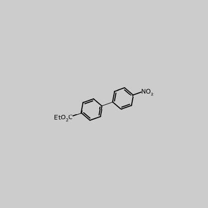 CCOC(=O)c1ccc(-c2ccc([N+](=O)[O-])cc2)cc1